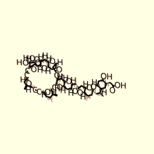 C=C1C[C@@H]2CC[C@]34OC5[C@@H]6O[C@H]7CC[C@H](CC(=O)O[C@@H]8[C@@H](C)[C@@H]9O[C@@H]%10C[C@@]%11(C[C@@H]%12O[C@]%13(C[C@H](C)[C@@H]%14C[C@H](CC(=O)O)[C@H](O)C[C@@H]%14O%13)C[C@H](C)[C@@H]%12O%11)O[C@@H]%10C[C@@H]9O[C@H]8C[C@H]8O[C@@H](CC[C@@H]1O2)C[C@@H](C)C8=C)O[C@@H]7[C@H](O3)[C@@H]6O[C@@]5(O)[C@H]4O